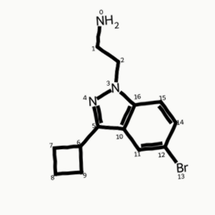 NCCn1nc(C2CCC2)c2cc(Br)ccc21